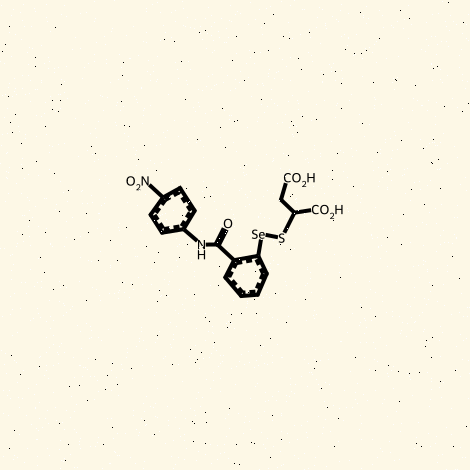 O=C(O)CC(S[Se]c1ccccc1C(=O)Nc1ccc([N+](=O)[O-])cc1)C(=O)O